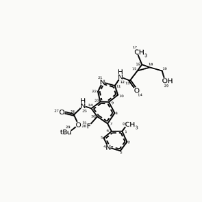 Cc1ccncc1-c1cc2cc(NC(=O)C3C(C)C3CO)ncc2c(NC(=O)OC(C)(C)C)c1F